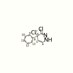 ClC1=NNC=CC1(Cl)c1ccccc1